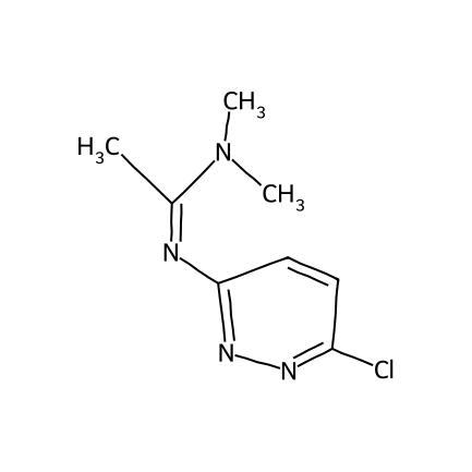 CC(=Nc1ccc(Cl)nn1)N(C)C